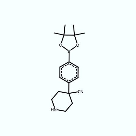 CC1(C)OB(c2ccc(C3(C#N)CCNCC3)cc2)OC1(C)C